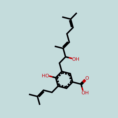 CC(C)=CC/C=C(\C)C(O)Cc1cc(C(=O)O)cc(CC=C(C)C)c1O